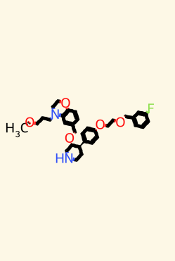 COCCCN1CCOc2ccc(CO[C@H]3CNCC[C@@H]3c3ccc(OCCOCc4cccc(F)c4)cc3)cc21